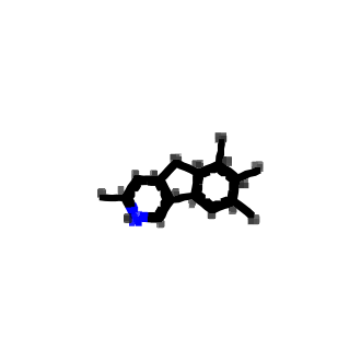 Cc1cc2c(cn1)-c1cc(C)c(C)c(C)c1C2